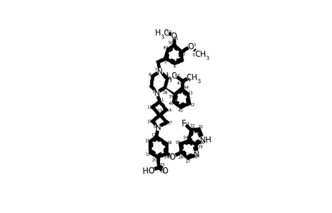 COc1ccc(CN2CCN(C3CC4(C3)CN(c3ccc(C(=O)O)c(Oc5cnc6[nH]cc(F)c6c5)c3)C4)[C@H](c3ccccc3C(C)C)C2)cc1OC